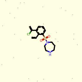 C=Cc1c(C(=C)Cl)cccc1S(=O)(=O)N1CCCNCC1